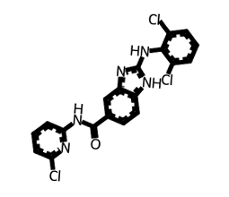 O=C(Nc1cccc(Cl)n1)c1ccc2[nH]c(Nc3c(Cl)cccc3Cl)nc2c1